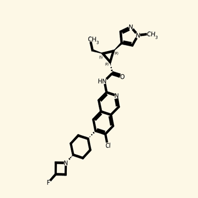 CC[C@@H]1[C@@H](C(=O)Nc2cc3cc([C@H]4CC[C@@H](N5CC(F)C5)CC4)c(Cl)cc3cn2)[C@@H]1c1cnn(C)c1